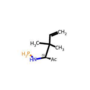 C=CC(C)(C)[C@H](NP)C(C)=O